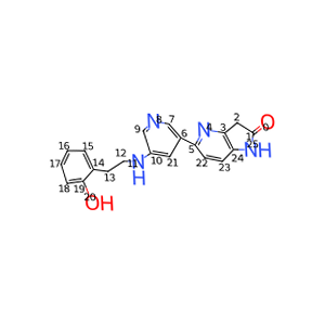 O=C1Cc2nc(-c3cncc(NCCc4ccccc4O)c3)ccc2N1